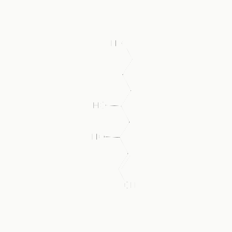 C/C=C/C(O)CC(O)CCCC